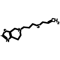 C=CCSCCCN1CCc2n[c]sc2C1